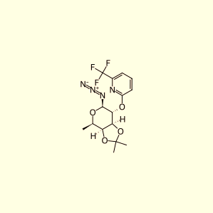 C[C@H]1O[C@@H](N=[N+]=[N-])[C@H](Oc2cccc(C(F)(F)F)n2)[C@H]2OC(C)(C)O[C@H]21